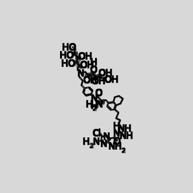 N=C(NCCCCc1ccc(C[C@H](N)C(=O)Nc2ccc(CCCN(C[C@H](O)[C@@H](O)[C@H](O)[C@H](O)CO)C[C@H](O)[C@@H](O)[C@H](O)[C@H](O)CO)cc2)c2c1CCCC2)NC(=O)c1nc(Cl)c(N)nc1N